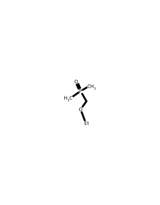 CCOCP(C)(C)=O